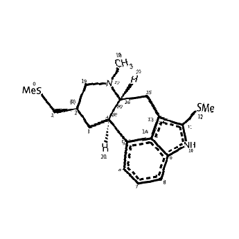 CSC[C@@H]1C[C@@H]2c3cccc4[nH]c(SC)c(c34)C[C@H]2N(C)C1